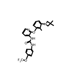 Cc1c(Oc2ncccc2NC(=O)Nc2ccc(OC(F)(F)F)cc2)cccc1N1CC(C)(C)C1